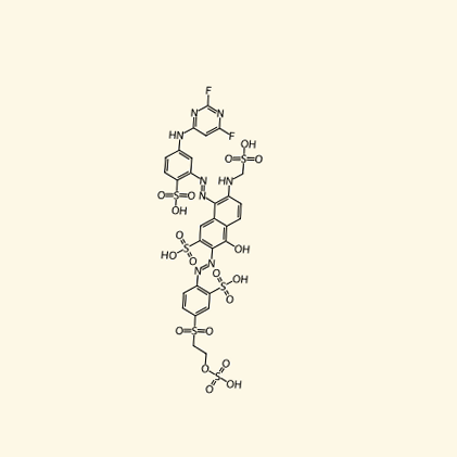 O=S(=O)(O)CNc1ccc2c(O)c(/N=N/c3ccc(S(=O)(=O)CCOS(=O)(=O)O)cc3S(=O)(=O)O)c(S(=O)(=O)O)cc2c1/N=N/c1cc(Nc2cc(F)nc(F)n2)ccc1S(=O)(=O)O